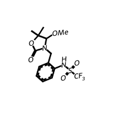 COC1N(Cc2ccccc2NS(=O)(=O)C(F)(F)F)C(=O)OC1(C)C